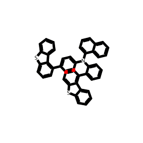 c1ccc(N(c2ccc(-c3cccc4sc5ccccc5c34)cc2)c2cccc3ccccc23)c(-c2cccc3sc4ccccc4c23)c1